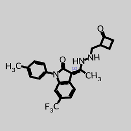 C/C(NNCC1CCC1=O)=C1/C(=O)N(c2ccc(C)cc2)c2cc(C(F)(F)F)ccc21